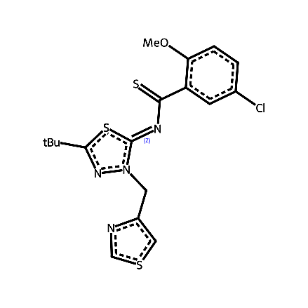 COc1ccc(Cl)cc1C(=S)/N=c1\sc(C(C)(C)C)nn1Cc1cscn1